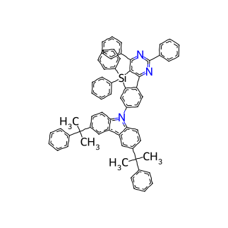 CC(C)(c1ccccc1)c1ccc2c(c1)c1cc(C(C)(C)c3ccccc3)ccc1n2-c1ccc2c(c1)[Si](c1ccccc1)(c1ccccc1)c1c(-c3ccccc3)nc(-c3ccccc3)nc1-2